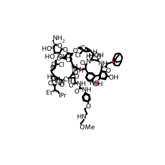 CC[C@H](CC(C)C)C(=O)N[C@H]1C(=O)C[C@@H](CC(=O)NC(=O)Nc2ccc(OCCNCCOC)cc2)C(=O)N[C@H]2C(=O)C[C@H]3C(=O)N[C@H](C(=O)N[C@H](C(=O)CC4C5CC6CC(C5)CC4C6)c4cc(O)cc(O)c4-c4cc3ccc4O)[C@H](O)c3ccc(c(Cl)c3)Oc3cc2cc(c3O[C@@H]2O[C@H](CN)[C@@H](O)[C@H](O)[C@H]2O)Oc2ccc(cc2Cl)[C@H]1O